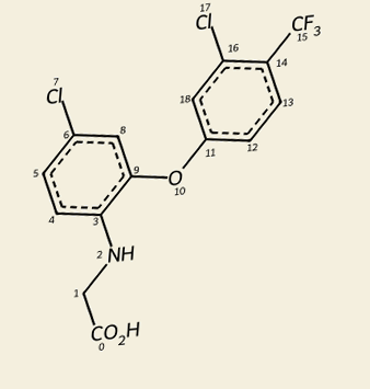 O=C(O)CNc1ccc(Cl)cc1Oc1ccc(C(F)(F)F)c(Cl)c1